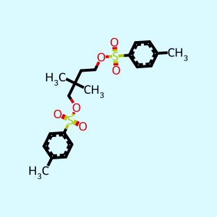 Cc1ccc(S(=O)(=O)OCCC(C)(C)COS(=O)(=O)c2ccc(C)cc2)cc1